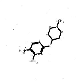 CN1CCC(Oc2ccc(N)c([N+](=O)[O-])c2)CC1